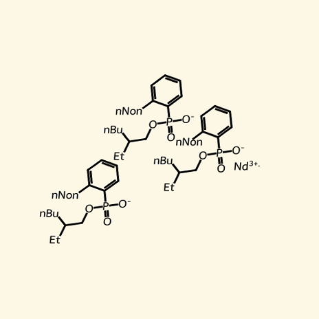 CCCCCCCCCc1ccccc1P(=O)([O-])OCC(CC)CCCC.CCCCCCCCCc1ccccc1P(=O)([O-])OCC(CC)CCCC.CCCCCCCCCc1ccccc1P(=O)([O-])OCC(CC)CCCC.[Nd+3]